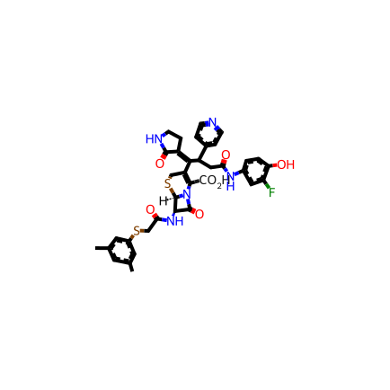 Cc1cc(C)cc(SCC(=O)N[C@@H]2C(=O)N3C(C(=O)O)=C(C(=C4CCNC4=O)C(CC(=O)Nc4ccc(O)c(F)c4)c4ccncc4)CS[C@H]23)c1